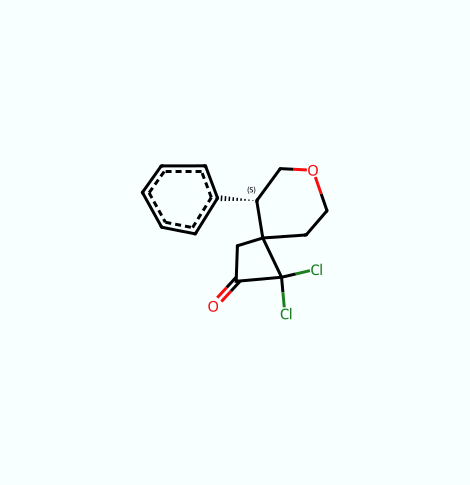 O=C1CC2(CCOC[C@H]2c2ccccc2)C1(Cl)Cl